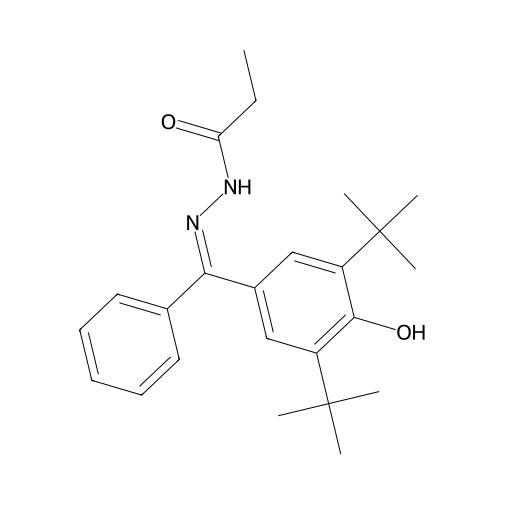 CCC(=O)NN=C(c1ccccc1)c1cc(C(C)(C)C)c(O)c(C(C)(C)C)c1